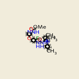 COCC(=O)Nc1cc(Oc2ccc(NC(=O)Nc3c4c(nn3-c3ccc(C)cc3)C(C)(C)CC4)c(F)c2)ccn1